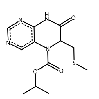 CSCC1C(=O)Nc2ncncc2N1C(=O)OC(C)C